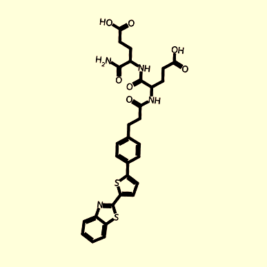 NC(=O)C(CCC(=O)O)NC(=O)C(CCC(=O)O)NC(=O)CCc1ccc(-c2ccc(-c3nc4ccccc4s3)s2)cc1